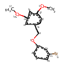 COc1cc(COc2cccc(Br)c2)cc(OC)c1